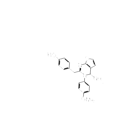 COc1ccc(N2C(Cc3ccc(O)cc3)=Nc3occc3C2N)cc1